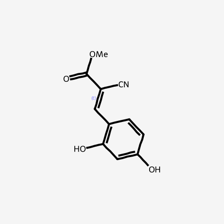 COC(=O)/C(C#N)=C/c1ccc(O)cc1O